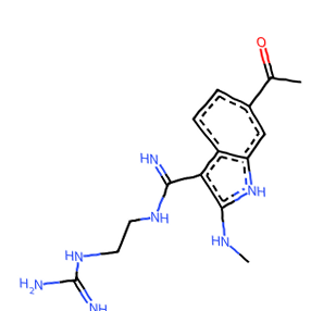 CNc1[nH]c2cc(C(C)=O)ccc2c1C(=N)NCCNC(=N)N